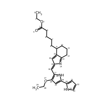 CCOC(=O)CCCCC1CCCC2=N/C(=C\c3[nH]c(-c4ccc[nH]4)cc3OCC)C=C21